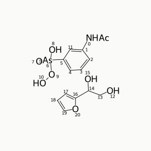 CC(=O)Nc1cccc([As](=O)(O)OO)c1.OCC(O)c1ccco1